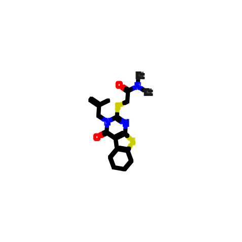 C=C(C)Cn1c(SCC(=O)N(CC)CC)nc2sc3c(c2c1=O)CCCC3